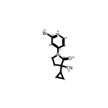 N#CC1(C2CC2)CCN(c2ccnc(Br)c2)C1=O